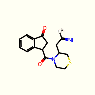 CCCC(=N)CC1CSCCN1C(=O)C1CC(=O)c2ccccc21